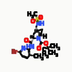 Cc1ccc(Br)nc1NC(=O)[C@@H]1C[C@@]2(CNS(C)(=O)=O)C[C@H]2N1C(=O)OC(C)(C)C